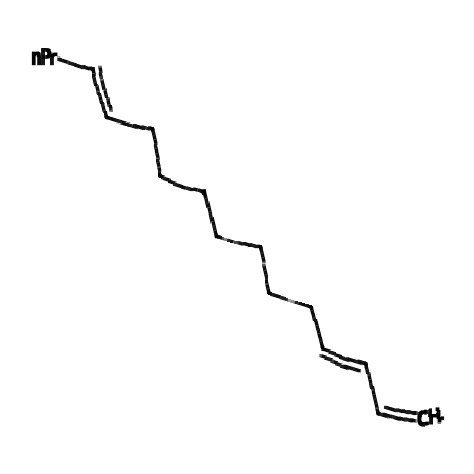 [CH]=CC=CCCCCCCCC=CCCC